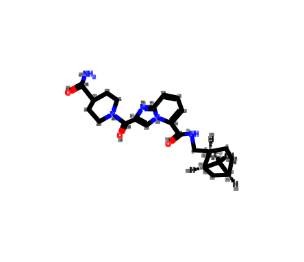 CC1(C)[C@H]2CC[C@H](CNC(=O)c3cccc4nc(C(=O)N5CCC(C(N)=O)CC5)cn34)[C@@H]1C2